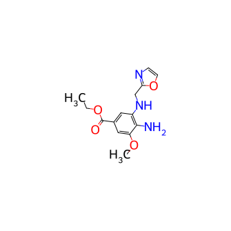 CCOC(=O)c1cc(NCc2ncco2)c(N)c(OC)c1